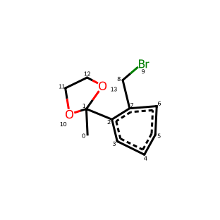 CC1(c2ccccc2CBr)OCCO1